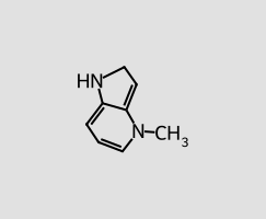 CN1C=CC=C2NCC=C21